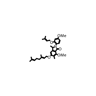 COc1ccc(N2C(=O)c3c(cc(OC/C=C(\C)CCC=C(C)C)c(C)c3OC)C2C)c(OCC=C(C)C)c1